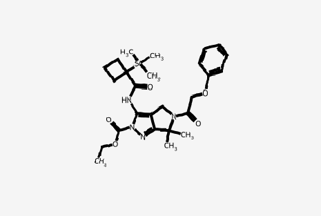 CCOC(=O)n1nc2c(c1NC(=O)C1([Si](C)(C)C)CCC1)CN(C(=O)COc1ccccc1)C2(C)C